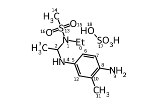 CCN(C(C)Nc1ccc(N)c(C)c1)S(C)(=O)=O.O=S(=O)(O)O